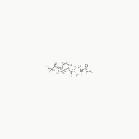 C=CC(=O)N1CCC(Nc2ccnc3c2ccn3C(=O)C2CC2)CC1